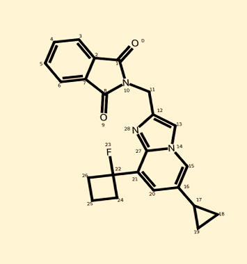 O=C1c2ccccc2C(=O)N1Cc1cn2cc(C3CC3)cc(C3(F)CCC3)c2n1